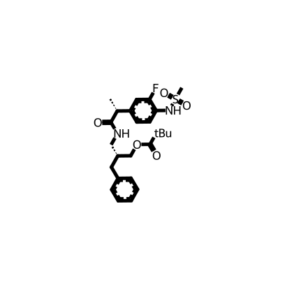 C[C@@H](C(=O)NC[C@H](COC(=O)C(C)(C)C)Cc1ccccc1)c1ccc(NS(C)(=O)=O)c(F)c1